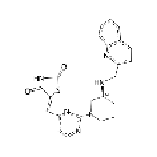 O=C1NC(=O)C(=Cc2ccnc(N3CCC[C@H](NCc4ccc5ccccc5n4)C3)n2)S1